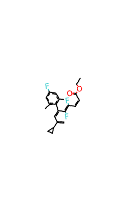 C=C(\C=C(/C(F)=C(F)/C=C\C(=O)OCC)c1c(C)cc(F)cc1C)C1CC1